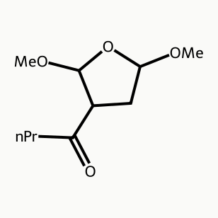 CCCC(=O)C1CC(OC)OC1OC